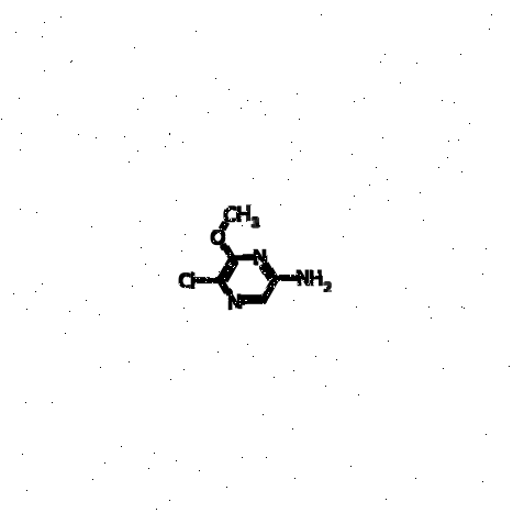 COc1nc(N)cnc1Cl